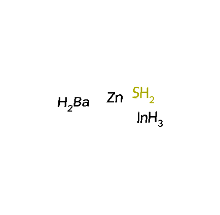 S.[BaH2].[InH3].[Zn]